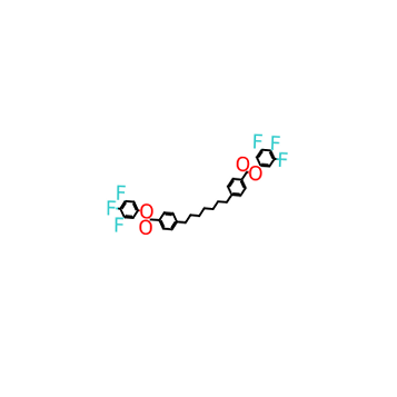 O=C(Oc1cc(F)c(F)c(F)c1)c1ccc(CCCCCCCc2ccc(C(=O)Oc3cc(F)c(F)c(F)c3)cc2)cc1